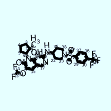 C[C@@]1(O)CCC[C@H]1n1c(=O)c(OC(F)F)cc2cnc(NC3CCN(S(=O)(=O)c4ccc(C(F)(F)F)cc4)CC3)nc21